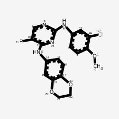 COc1ccc(Nc2ncc(F)c(Nc3ccc4c(c3)OCCO4)n2)cc1Cl